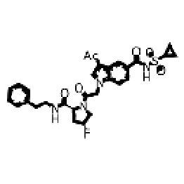 CC(=O)c1cn(CC(=O)N2C[C@H](F)C[C@H]2C(=O)NCCc2ccccc2)c2ccc(C(=O)NS(=O)(=O)C3CC3)cc12